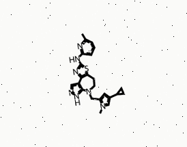 Cc1cccc(Nc2nc3c(s2)CCN(Cc2cc(C4CC4)cn2C)c2[nH]ncc2-3)n1